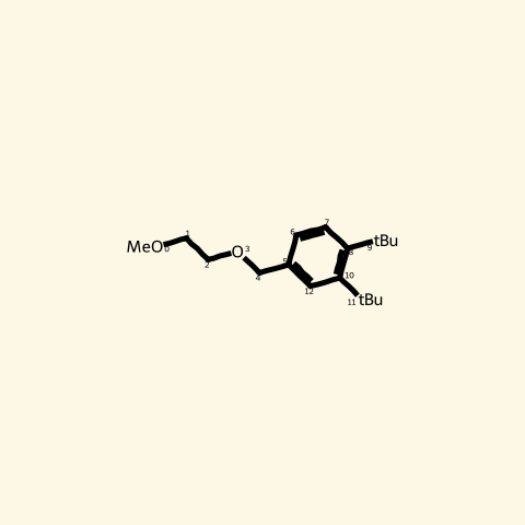 COCCOCc1ccc(C(C)(C)C)c(C(C)(C)C)c1